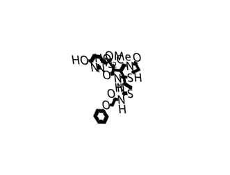 CON=CC(=O)NC1(c2csc(NC(=O)COc3ccccc3)n2)S[C@H]2CC(=O)N2C(C(=O)O)=C1CSc1ccc(O)nn1